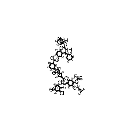 O=C(N[C@@H](c1ccccc1)c1cccc(OC(=O)c2cccc(S(=O)(=O)N3CC(C(=O)O[C@@H](Cc4c(Cl)c[n+]([O-])cc4Cl)c4ccc(OC(F)F)c(OCC5CC5)c4)C3)c2)c1)O[C@H]1CN2CCC1CC2